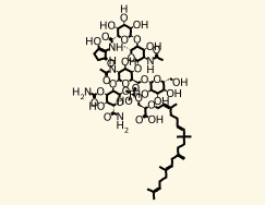 C=C(C/C=C(\C)CCC=C(C)C)CCC(C)(C)/C=C/CC/C(C)=C\CO[C@H](COP(=O)(O)O[C@H]1O[C@H](C(N)=O)[C@H](O)[C@H](OC(N)=O)[C@H]1O[C@@H]1O[C@H](CO[C@@H]2O[C@H](CO)[C@@H](O)[C@H](O)[C@H]2O)[C@@H](O[C@@H]2O[C@H](C)[C@@H](O[C@@H]3O[C@H](C(=O)NC4=C(O)CCC4=O)[C@H](O)[C@H](O)[C@H]3O)[C@H](O)[C@H]2NC(C)=O)[C@H](O)[C@H]1NC(C)=O)C(=O)O